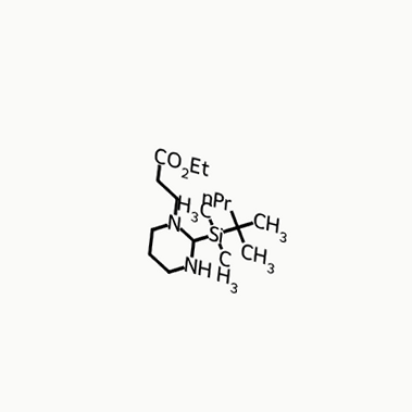 CCCC(C)(C)[Si](C)(C)C1NCCCN1CCC(=O)OCC